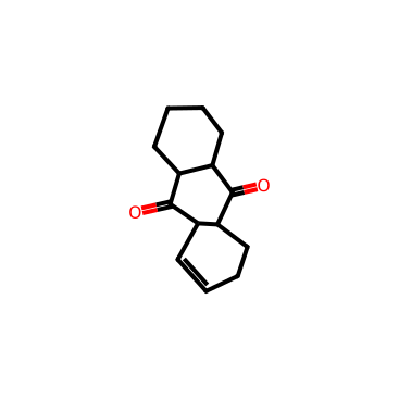 O=C1C2C=CCCC2C(=O)C2CCCCC12